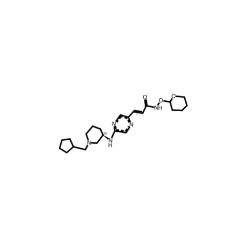 O=C(/C=C/c1cnc(N[C@@H]2CCCN(CC3CCCC3)C2)cn1)NOC1CCCCO1